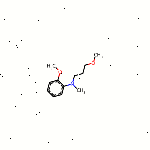 COCCCN(C)c1ccccc1OC